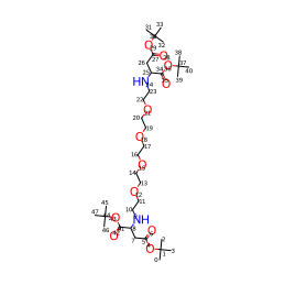 CC(C)(C)OC(=O)CC(NCCOCCOCCOCCOCCNC(CC(=O)OC(C)(C)C)C(=O)OC(C)(C)C)C(=O)OC(C)(C)C